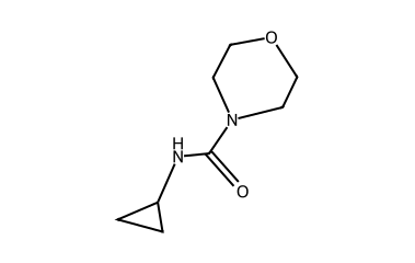 O=C(NC1CC1)N1CCOCC1